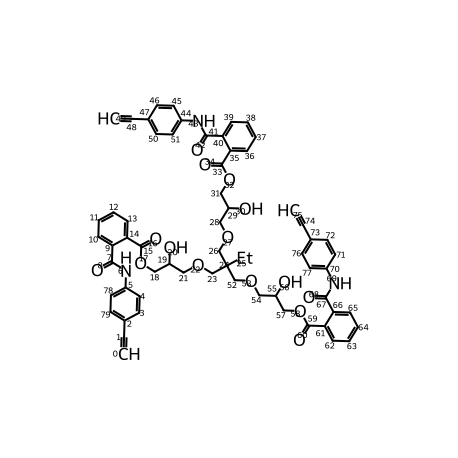 C#Cc1ccc(NC(=O)c2ccccc2C(=O)OCC(O)COCC(CC)(COCC(O)COC(=O)c2ccccc2C(=O)Nc2ccc(C#C)cc2)COCC(O)COC(=O)c2ccccc2C(=O)Nc2ccc(C#C)cc2)cc1